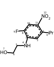 CC(C)c1cc(NCCO)c(F)cc1[N+](=O)[O-]